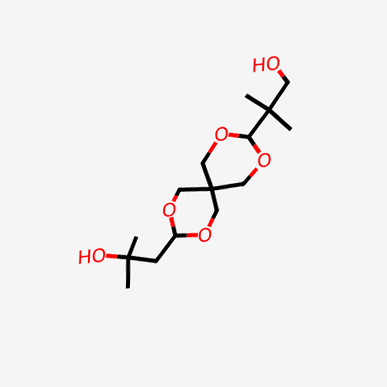 CC(C)(O)CC1OCC2(CO1)COC(C(C)(C)CO)OC2